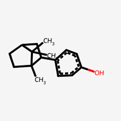 CC1(C)C2CCC1(C)C(c1ccc(O)cc1)C2